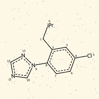 CC(C)Cc1cc(Cl)ccc1-n1cncn1